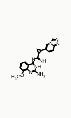 COc1cccc2/c(=N/C(=N)C3CC3c3ccc4nncn4c3)[nH]c(N)nc12